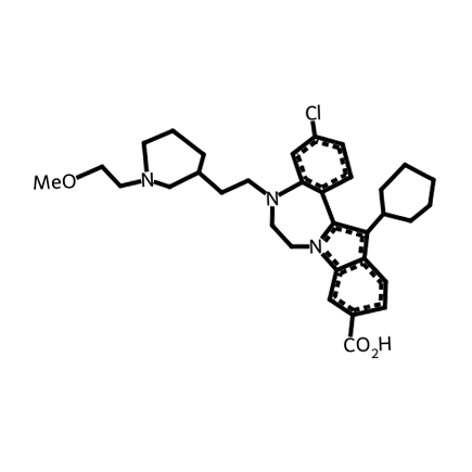 COCCN1CCCC(CCN2CCn3c(c(C4CCCCC4)c4ccc(C(=O)O)cc43)-c3ccc(Cl)cc32)C1